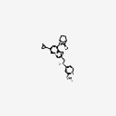 Nc1cc(NCc2cn3cc(C4CC4)cc(N4C(=O)C5CCC4C5)c3n2)ccn1